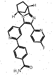 NC(=O)c1ccc(-c2cc(-c3c(-c4ccc(F)cn4)nc4n3[C@@H]3CC[C@H]4C3)ccn2)cc1